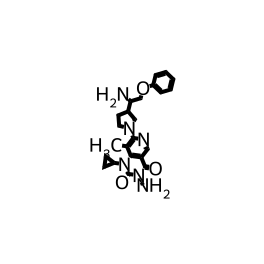 Cc1c(N2CCC(C(N)COc3ccccc3)C2)ncc2c(=O)n(N)c(=O)n(C3CC3)c12